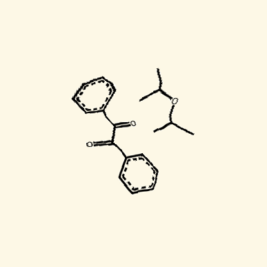 CC(C)OC(C)C.O=C(C(=O)c1ccccc1)c1ccccc1